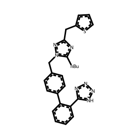 CCCCc1nc(Cc2cccs2)nn1Cc1ccc(-c2ccccc2-c2nnn[nH]2)cc1